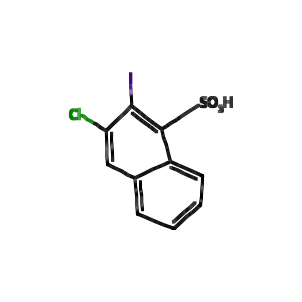 O=S(=O)(O)c1c(I)c(Cl)cc2ccccc12